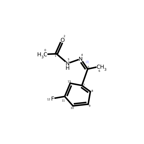 CC(=O)N/N=C(/C)c1cccc(F)c1